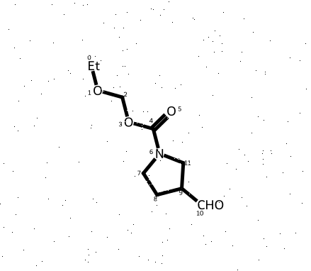 CCOCOC(=O)N1CCC(C=O)C1